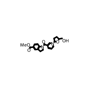 COC(=O)c1ccc2c(c1)CCN2C(=O)c1ccc[n+](C2CCC(CO)O2)c1